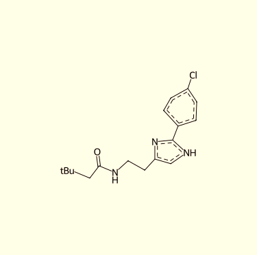 CC(C)(C)CC(=O)NCCc1c[nH]c(-c2ccc(Cl)cc2)n1